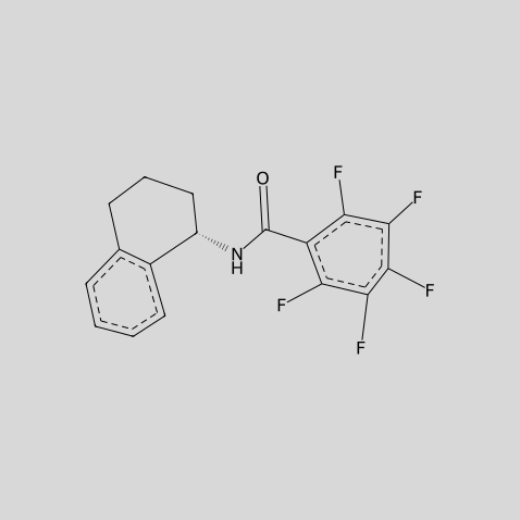 O=C(N[C@H]1CCCc2ccccc21)c1c(F)c(F)c(F)c(F)c1F